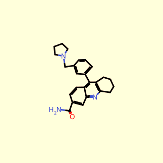 NC(=O)c1ccc2c(-c3cccc(CN4CCCC4)c3)c3c(nc2c1)CCCC3